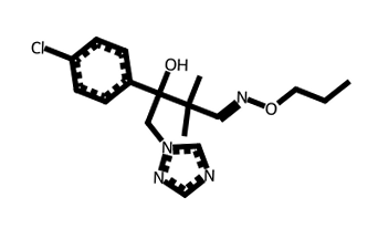 CCCON=CC(C)(C)C(O)(Cn1cncn1)c1ccc(Cl)cc1